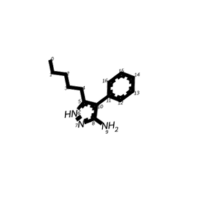 CCCCCc1[nH]nc(N)c1-c1ccccc1